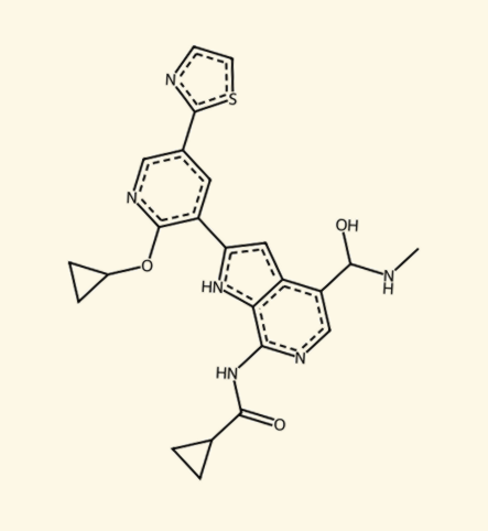 CNC(O)c1cnc(NC(=O)C2CC2)c2[nH]c(-c3cc(-c4nccs4)cnc3OC3CC3)cc12